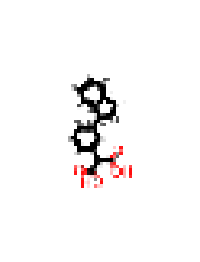 O=C(O)C(C(=O)O)c1cccc(C2CCc3ccccc32)c1